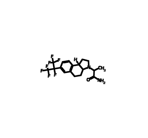 CC(C(N)=O)N1CC[C@H]2c3ccc(C(F)(C(F)(F)F)C(F)(F)F)cc3CCC21